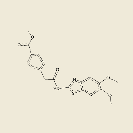 COC(=O)c1ccc(CC(=O)Nc2nc3cc(OC)c(OC)cc3s2)cc1